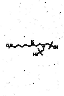 CC(C)(S)CN(CCNCCCCCN)CC(C)(C)S